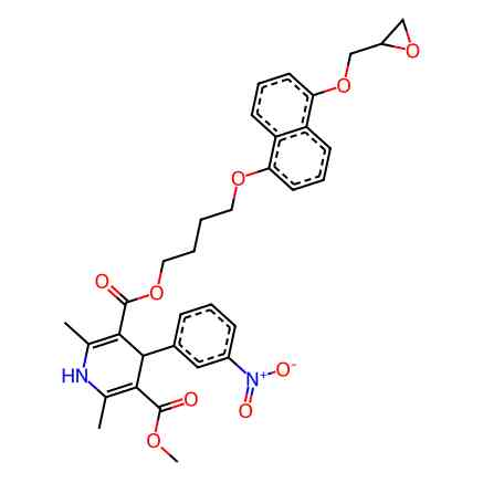 COC(=O)C1=C(C)NC(C)=C(C(=O)OCCCCOc2cccc3c(OCC4CO4)cccc23)C1c1cccc([N+](=O)[O-])c1